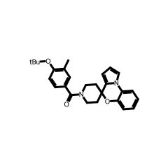 Cc1cc(C(=O)N2CCC3(CC2)Oc2ccccc2-n2cccc23)ccc1OC(C)(C)C